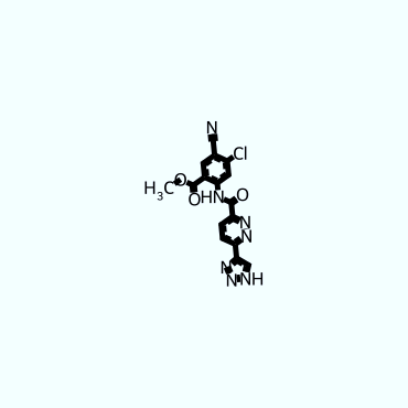 COC(=O)c1cc(C#N)c(Cl)cc1NC(=O)c1ccc(-c2c[nH]nn2)nn1